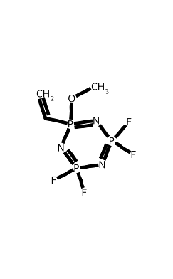 C=CP1(OC)=NP(F)(F)=NP(F)(F)=N1